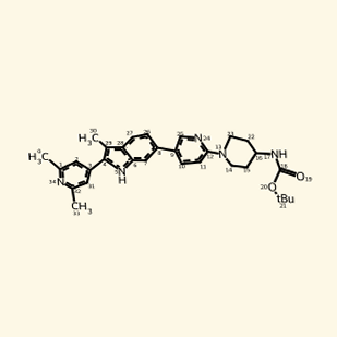 Cc1cc(-c2[nH]c3cc(-c4ccc(N5CCC(NC(=O)OC(C)(C)C)CC5)nc4)ccc3c2C)cc(C)n1